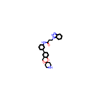 O=C(CCn1nnc2ccccc21)Nc1cccc(-c2ccc3c(c2)COC2(CCNCC2)O3)c1